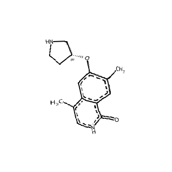 Cc1cc2c(=O)[nH]cc(C)c2cc1O[C@@H]1CCNC1